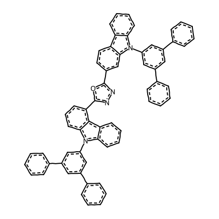 c1ccc(-c2cc(-c3ccccc3)cc(-n3c4ccccc4c4ccc(-c5nnc(-c6cccc7c6c6ccccc6n7-c6cc(-c7ccccc7)cc(-c7ccccc7)c6)o5)cc43)c2)cc1